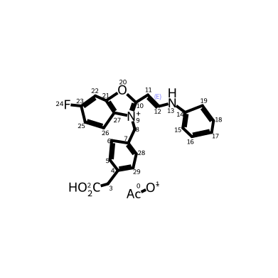 CC(=O)[O-].O=C(O)Cc1ccc(C[n+]2c(/C=C/Nc3ccccc3)oc3cc(F)ccc32)cc1